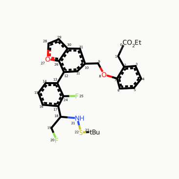 CCOC(=O)Cc1ccccc1OCc1cc(-c2cccc(C(CF)NSC(C)(C)C)c2F)c2occc2c1